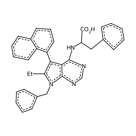 CCc1c(-c2cccc3ccccc23)c2c(NC(Cc3ccccc3)C(=O)O)ncnc2n1Cc1ccccc1